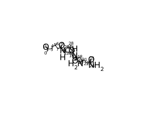 CC(=O)CCC(C)CC(=O)NC(CCCNC(=O)CC(N)CCC(N)=O)CC(C)=O